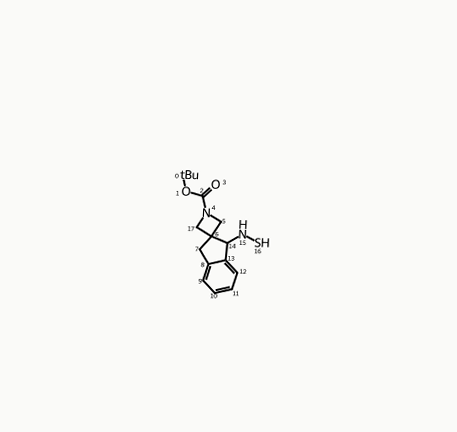 CC(C)(C)OC(=O)N1CC2(Cc3ccccc3C2NS)C1